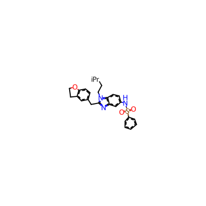 CC(C)CCn1c(Cc2ccc3c(c2)CCO3)nc2cc(NS(=O)(=O)c3ccccc3)ccc21